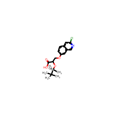 CC(C)(C)[Si](C)(C)OC(COc1ccc2cc(Cl)ncc2c1)C(=O)O